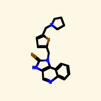 S=c1[nH]c2cnc3ccccc3c2n1Cc1ccc(CN2CCCC2)s1